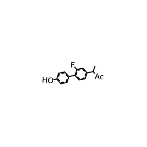 CC(=O)C(C)c1ccc(-c2ccc(O)cc2)c(F)c1